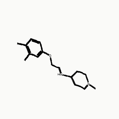 Cc1ccc(OCCNC2CCN(C)CC2)cc1C